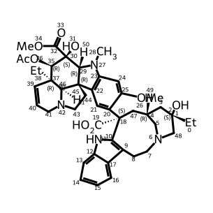 CC[C@]1(O)C[C@@H]2CN(CCc3c([nH]c4ccccc34)[C@@](C(=O)O)(c3cc4c(cc3OC)N(C)[C@H]3[C@@](O)(C(=O)OC)[C@H](OC(C)=O)[C@]5(CC)C=CCN6CC[C@]43[C@@H]65)C2)C1